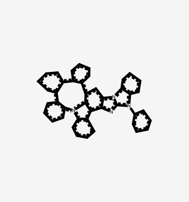 c1ccc(-n2c3ccccc3n3c4cc5c6ccccc6c6ccccc6c6ccccc6n6c7ccccc7c(c4nc23)c56)cc1